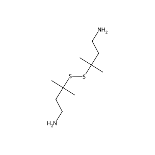 CC(C)(CCN)SSC(C)(C)CCN